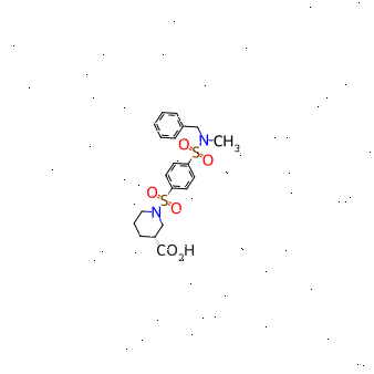 CN(Cc1ccccc1)S(=O)(=O)c1ccc(S(=O)(=O)N2CCC[C@@H](C(=O)O)C2)cc1